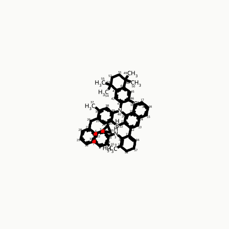 CC1=C(Nc2ccccc2C)C(c2cc3ccccc3c3c2Bc2cc(Cc4ccccc4C4CC4)c(C)cc2N3c2cc3c(cc2C)C(C)(C)CCC3(C)C)=CCC1